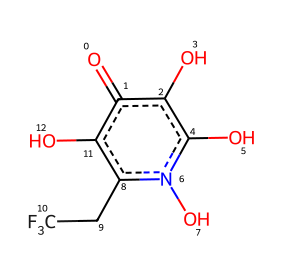 O=c1c(O)c(O)n(O)c(CC(F)(F)F)c1O